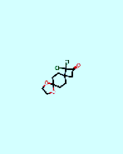 O=C1CC2(CCC3(CC2)OCCO3)C1(Cl)Cl